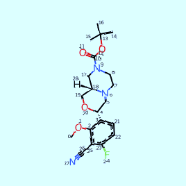 COc1c([C@H]2CN3CCN(C(=O)OC(C)(C)C)C[C@H]3CO2)ccc(F)c1C#N